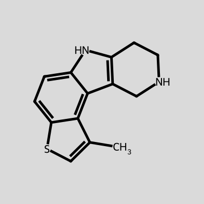 Cc1csc2ccc3[nH]c4c(c3c12)CNCC4